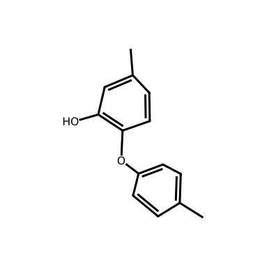 Cc1ccc(Oc2ccc(C)cc2O)cc1